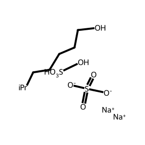 CC(C)CCCCCO.O=S(=O)(O)O.O=S(=O)([O-])[O-].[Na+].[Na+]